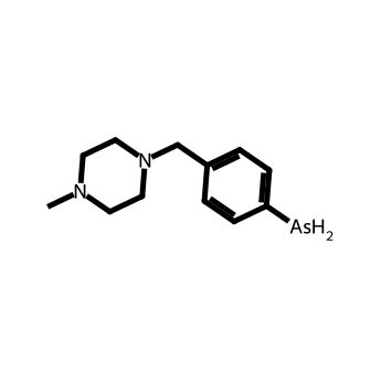 CN1CCN(Cc2ccc([AsH2])cc2)CC1